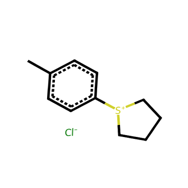 Cc1ccc([S+]2CCCC2)cc1.[Cl-]